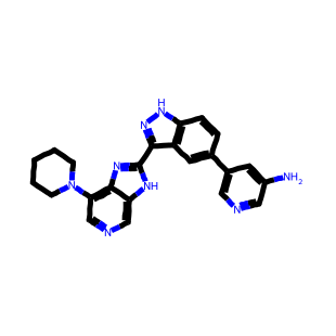 Nc1cncc(-c2ccc3[nH]nc(-c4nc5c(N6CCCCC6)cncc5[nH]4)c3c2)c1